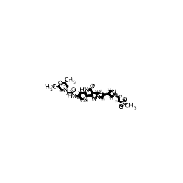 C[C@@H]1CN(CC(=O)Nc2cnc3c(c2)[nH]c(=O)c2c3nn3cc(-c4cnn(CCS(C)(=O)=O)c4)sc23)C[C@@H](C)O1